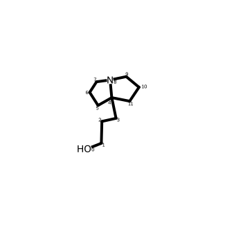 OCCCC12CCCN1CCC2